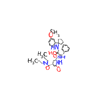 CCCN(CCC)C(=O)c1cc(C(=O)N[C@@H](Cc2ccccc2)[C@H](O)CNC2(c3cccc(OC)c3)CCCC2)[nH]c(=O)c1